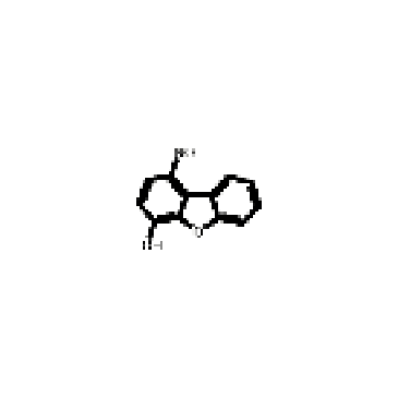 O=Nc1ccc(O)c2oc3ccccc3c12